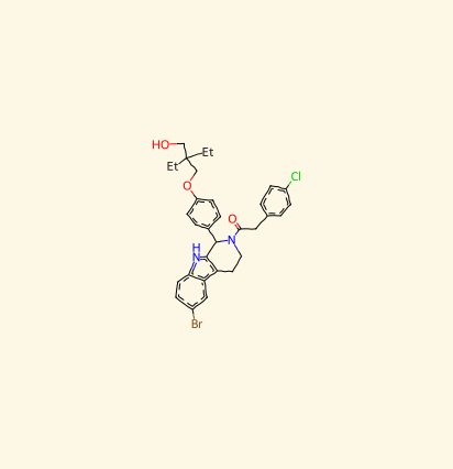 CCC(CC)(CO)COc1ccc(C2c3[nH]c4ccc(Br)cc4c3CCN2C(=O)Cc2ccc(Cl)cc2)cc1